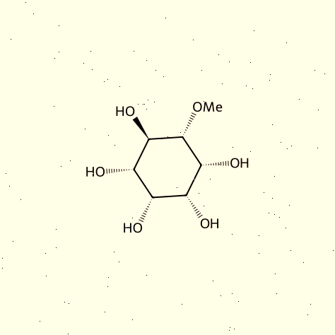 CO[C@@H]1[C@H](O)[C@H](O)[C@H](O)[C@H](O)[C@H]1O